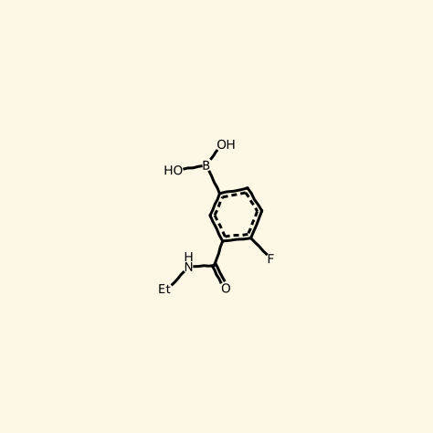 CCNC(=O)c1cc(B(O)O)ccc1F